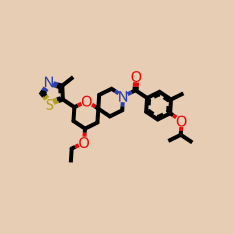 CCOC1CC(c2scnc2C)OC2(CCN(C(=O)c3ccc(OC(C)C)c(C)c3)CC2)C1